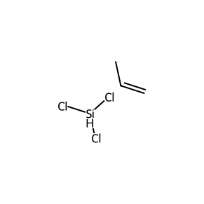 C=CC.Cl[SiH](Cl)Cl